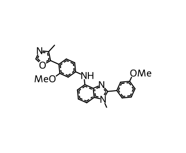 COc1cccc(-c2nc3c(Nc4ccc(-c5ocnc5C)c(OC)c4)cccc3n2C)c1